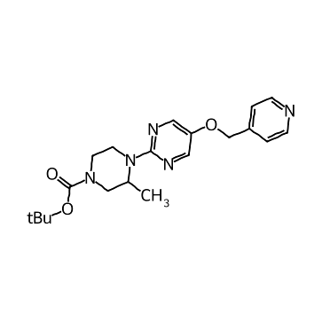 CC1CN(C(=O)OC(C)(C)C)CCN1c1ncc(OCc2ccncc2)cn1